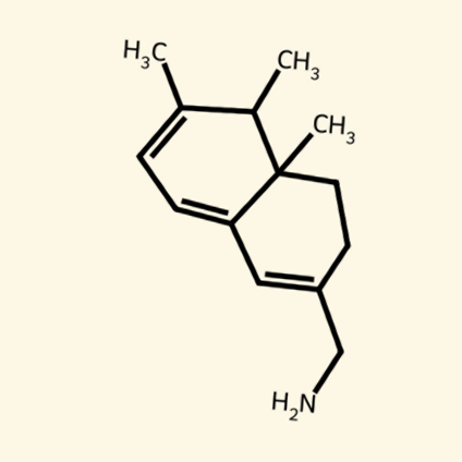 CC1=CC=C2C=C(CN)CCC2(C)C1C